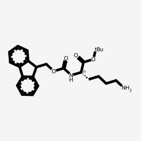 CC(C)(C)OC(=O)[C@H](CCCCN)NC(=O)OCC1c2ccccc2-c2ccccc21